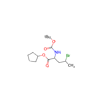 CC(Br)CC(NC(=O)OC(C)(C)C)C(=O)OC1CCCC1